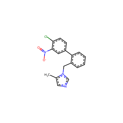 Cc1cncn1Cc1ccccc1-c1ccc(Cl)c([N+](=O)[O-])c1